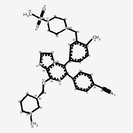 Cc1ccc(-c2c(-c3ccc(C#N)cc3)nc(OC[C@@H]3CCCN(C)C3)c3nccn23)cc1CN1CCN(S(C)(=O)=O)CC1